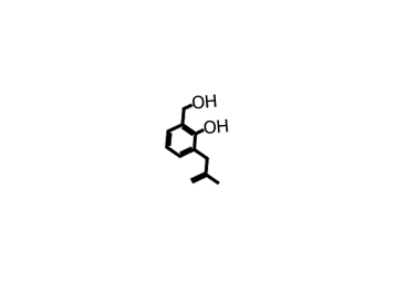 C=C(C)Cc1cccc(CO)c1O